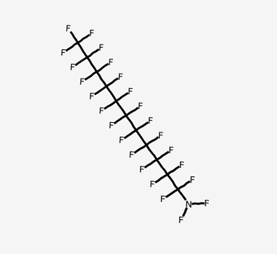 FN(F)C(F)(F)C(F)(F)C(F)(F)C(F)(F)C(F)(F)C(F)(F)C(F)(F)C(F)(F)C(F)(F)C(F)(F)C(F)(F)F